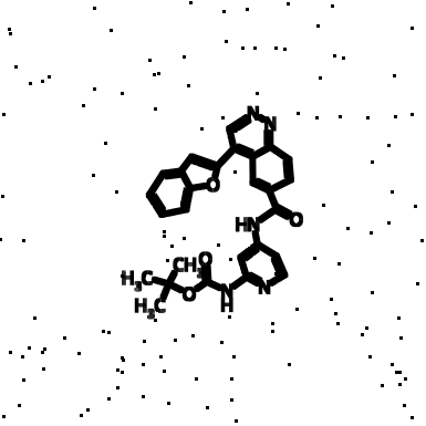 CC(C)(C)OC(=O)Nc1cc(NC(=O)c2ccc3nncc(-c4cc5ccccc5o4)c3c2)ccn1